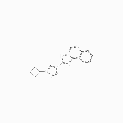 c1ccc2c(c1)ncn1nc(-c3cnn(C4CCC4)c3)nc21